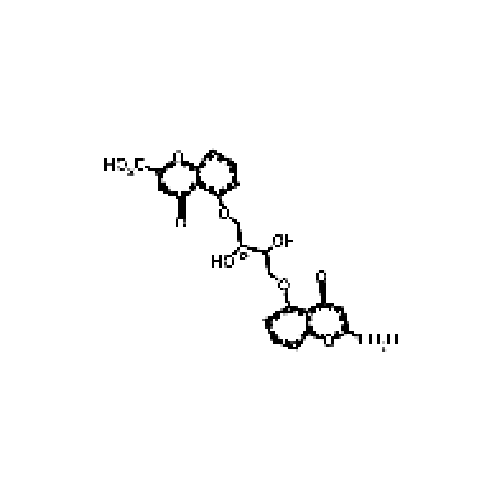 O=C(O)c1cc(=O)c2c(OCC(O)[C@@H](O)COc3cccc4oc(C(=O)O)cc(=O)c34)cccc2o1